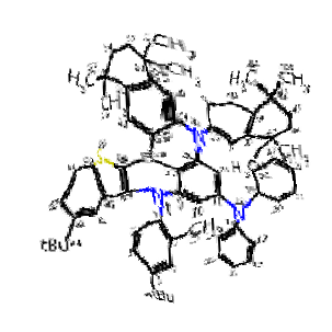 Cc1cc(C(C)(C)C)ccc1N1c2cc(N(c3ccccc3)C3C=CC=CC3)cc3c2B(c2cc4c(cc2N3C2=CC3=C(CC2)C(C)(C)CCC3(C)C)C(C)(C)CCC4(C)C)c2sc3ccc(C(C)(C)C)cc3c21